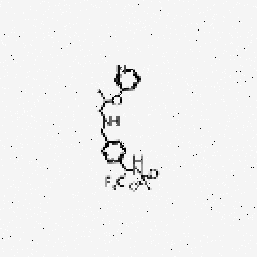 C[C@H](CNCc1ccc([C@H](NS(C)(=O)=O)C(F)(F)F)cc1)Oc1cccnc1